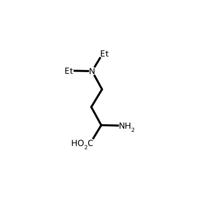 CCN(CC)CCC(N)C(=O)O